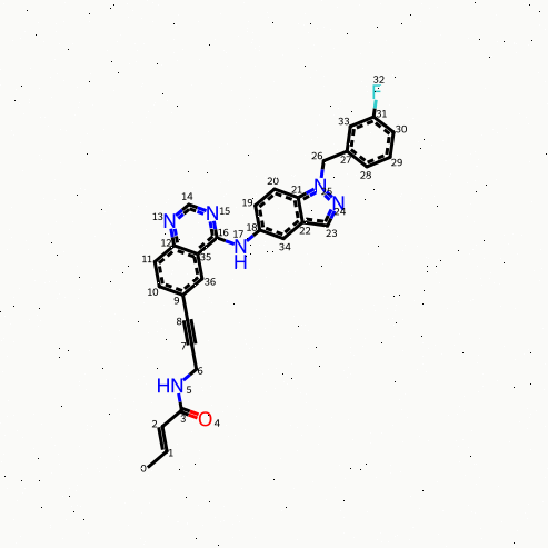 C/C=C/C(=O)NCC#Cc1ccc2ncnc(Nc3ccc4c(cnn4Cc4cccc(F)c4)c3)c2c1